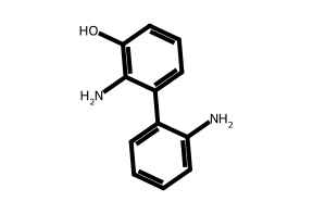 Nc1ccccc1-c1cccc(O)c1N